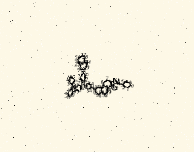 c1ccc(-c2nc3ccc4c5cc(-c6ccc(N(c7ccc(-c8ccc9ccccc9c8)cc7)c7ccc8c9ccccc9n(-c9ccccc9)c8c7)cc6)ccc5ccc4c3s2)cc1